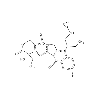 CC[C@H](CNC1CC1)n1c2c(c(=O)c3cc(F)ccc31)-c1cc3c(c(=O)n1C2)COC(=O)[C@]3(O)CC